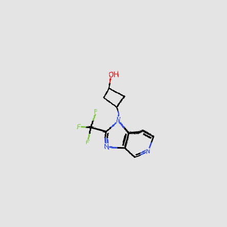 OC1CC(n2c(C(F)(F)F)nc3cnccc32)C1